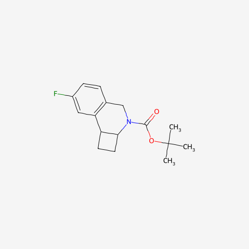 CC(C)(C)OC(=O)N1Cc2ccc(F)cc2C2CCC21